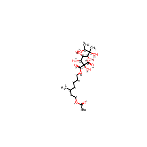 CCC(C)C(=O)OCCC(C)CCCCOC(=O)C(O)(C([O])=O)C(O)C(O)C(O)C(C)(O)C(O)[C]=O